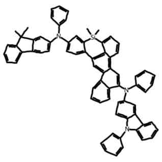 CC1(C)c2ccccc2-c2ccc(N(c3ccccc3)c3ccc4c(c3)[Si](C)(C)c3cccc5c3c-4cc3c4ccccc4c(N(c4ccccc4)c4ccc6c(c4)c4ccccc4n6-c4ccccc4)cc53)cc21